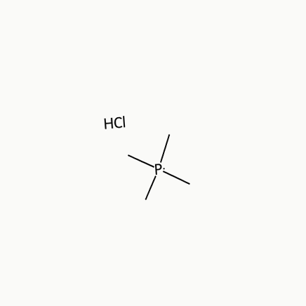 C[P](C)(C)C.Cl